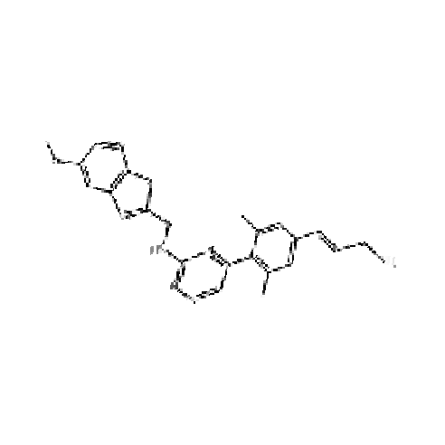 COc1ccc2sc(CNc3nncc(-c4c(C)cc(C=CCN)cc4C)n3)nc2c1